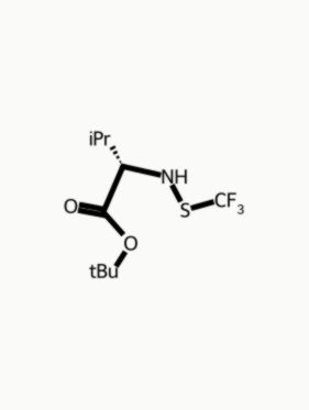 CC(C)[C@H](NSC(F)(F)F)C(=O)OC(C)(C)C